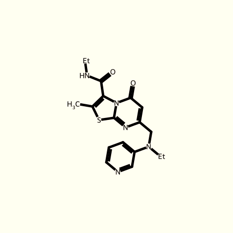 CCNC(=O)c1c(C)sc2nc(CN(CC)c3cccnc3)cc(=O)n12